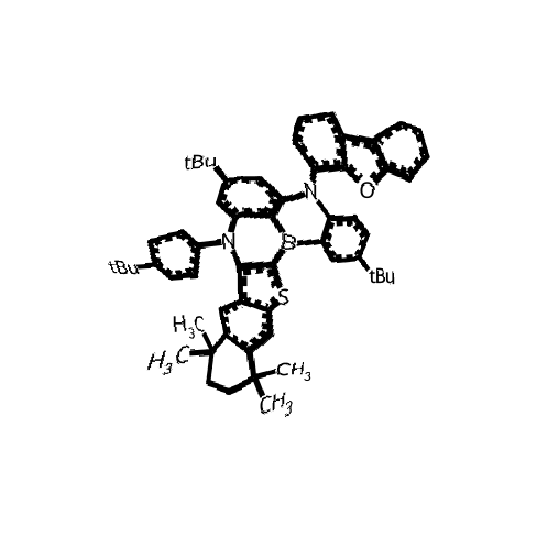 CC(C)(C)c1ccc(N2c3cc(C(C)(C)C)cc4c3B(c3cc(C(C)(C)C)ccc3N4c3cccc4c3oc3ccccc34)c3sc4cc5c(cc4c32)C(C)(C)CCC5(C)C)cc1